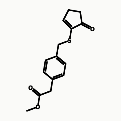 COC(=O)Cc1ccc(CSC2=CCCC2=O)cc1